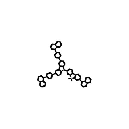 C[Si]1(C)c2cc(-c3cccc4ccccc34)ccc2-c2ccc(-n3c4ccc(-c5ccc(-c6cccc7ccccc67)cc5)cc4c4cc(-c5ccc(-c6cccc7ccccc67)cc5)ccc43)cc21